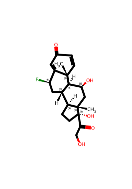 C[C@]12C=CC(=O)C=C1[C@H](F)C[C@@H]1[C@@H]2[C@@H](O)C[C@@]2(C)[C@H]1CC[C@]2(O)C(=O)CO